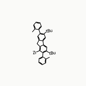 Cc1ccccc1-c1cc2c(cc1C(C)(C)C)-c1cc(C(C)(C)C)c(-c3ccccc3C)[c]([Zr])c1C2